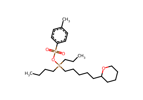 CCCCS(CCC)(CCCCCC1CCCCO1)OS(=O)(=O)c1ccc(C)cc1